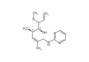 C=CC(OC)[C@@H](O)[C@H](C)/C=C(/C)CNc1ncccn1